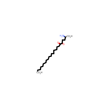 N[C@@H](CCC(=O)C(=O)CCCCCCCCCCCCCCCCC(=O)O)C(=O)O